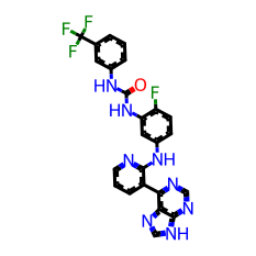 O=C(Nc1cccc(C(F)(F)F)c1)Nc1cc(Nc2ncccc2-c2ncnc3[nH]cnc23)ccc1F